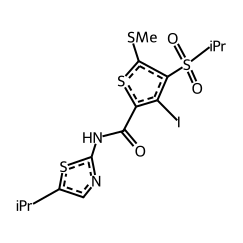 CSc1sc(C(=O)Nc2ncc(C(C)C)s2)c(I)c1S(=O)(=O)C(C)C